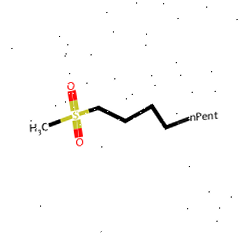 CCCCCCCCCS(C)(=O)=O